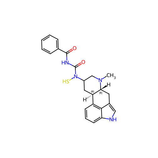 CN1CC(N(S)C(=O)NC(=O)c2ccccc2)C[C@@H]2c3cccc4[nH]cc(c34)C[C@H]21